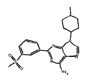 CC1CCC(n2cnc3c(N)nc(-c4cccc(S(C)(=O)=O)c4)nc32)CC1